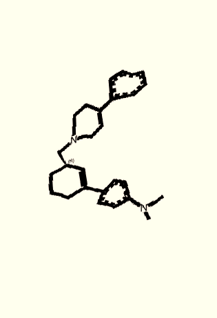 CN(C)c1ccc(C2=C[C@H](CN3CC=C(c4ccccc4)CC3)CCC2)cc1